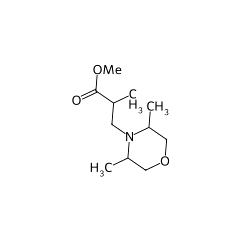 COC(=O)C(C)CN1C(C)COCC1C